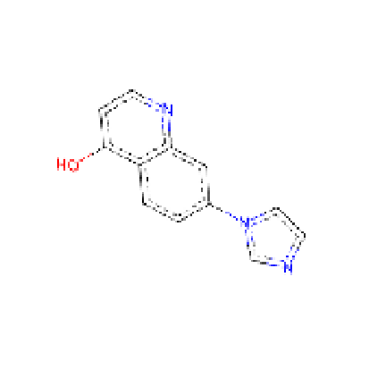 Oc1ccnc2cc(-n3ccnc3)ccc12